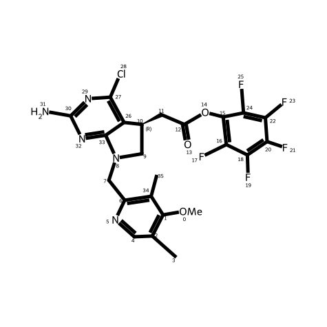 COc1c(C)cnc(CN2C[C@H](CC(=O)Oc3c(F)c(F)c(F)c(F)c3F)c3c(Cl)nc(N)nc32)c1C